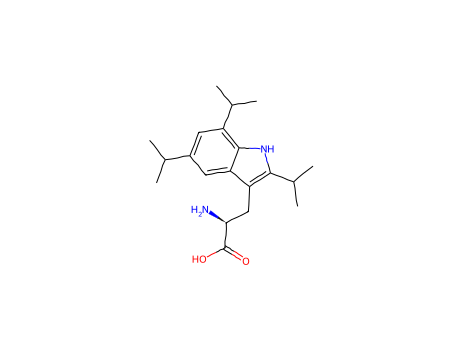 CC(C)c1cc(C(C)C)c2[nH]c(C(C)C)c(C[C@H](N)C(=O)O)c2c1